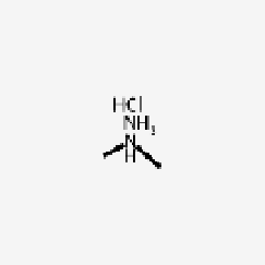 CNC.Cl.N